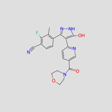 Cc1c(-c2n[nH]c(O)c2-c2ccc(C(=O)N3CCOCC3)cn2)ccc(C#N)c1F